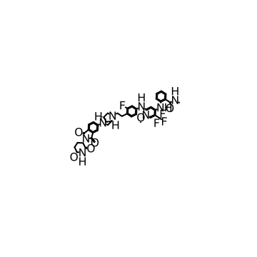 CNC(=O)c1ccccc1Nc1cc(Nc2cc(F)c(CCN3C[C@H]4C[C@@H]3CN4c3ccc4c(c3)C(=O)N(C3CCC(=O)NC3=O)C4=O)cc2OC)ncc1C(F)(F)F